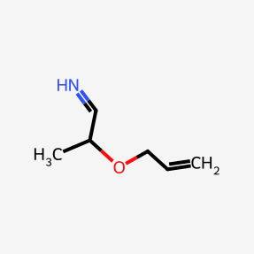 C=CCOC(C)C=N